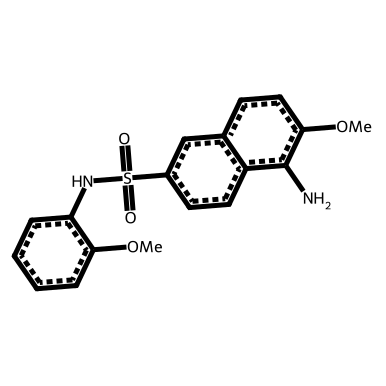 COc1ccccc1NS(=O)(=O)c1ccc2c(N)c(OC)ccc2c1